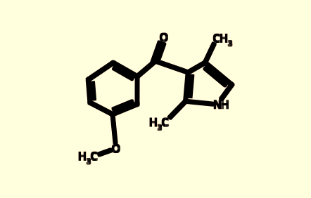 COc1cccc(C(=O)c2c(C)c[nH]c2C)c1